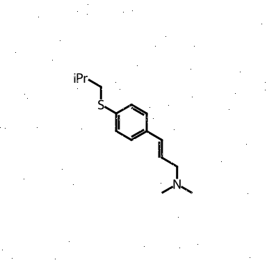 CC(C)CSc1ccc(C=CCN(C)C)cc1